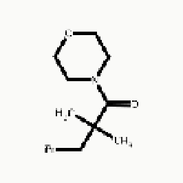 CC(C)CC(C)(C)C(=O)N1CCOCC1